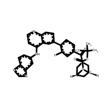 CC(C)(C)OC(=O)N1[C@@H]2C[C@H]1CN(C(=O)c1ccc(-c3ccc4nccc(Nc5ccc6scnc6c5)c4c3)c(F)c1)C2